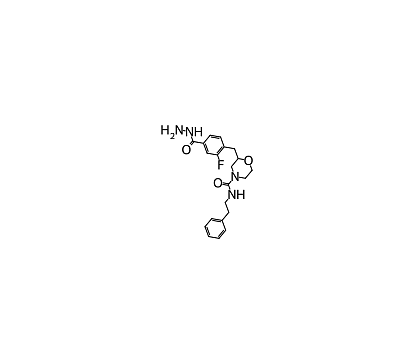 NNC(=O)c1ccc(CC2CN(C(=O)NCCc3ccccc3)CCO2)c(F)c1